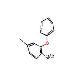 CSc1ccc(C)cc1Oc1ccccc1